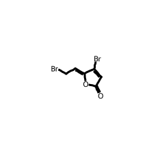 O=C1C=C(Br)/C(=C/CBr)O1